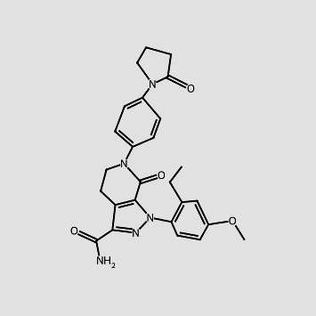 CCc1cc(OC)ccc1-n1nc(C(N)=O)c2c1C(=O)N(c1ccc(N3CCCC3=O)cc1)CC2